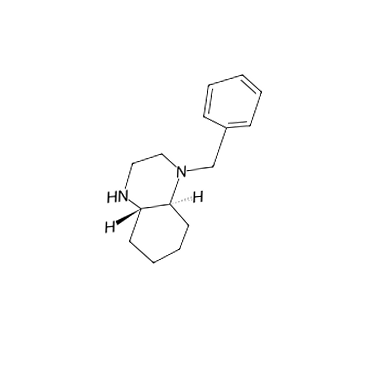 c1ccc(CN2CCN[C@H]3CCCC[C@@H]32)cc1